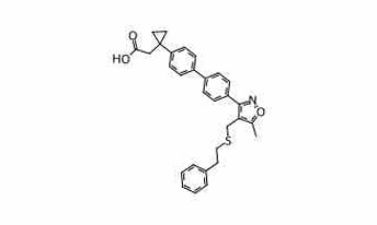 Cc1onc(-c2ccc(-c3ccc(C4(CC(=O)O)CC4)cc3)cc2)c1CSCCc1ccccc1